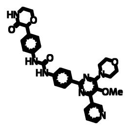 COc1c(-c2cccnc2)nc(-c2ccc(NC(=O)Nc3ccc(C4OCCNC4=O)cc3)cc2)nc1N1CCOCC1